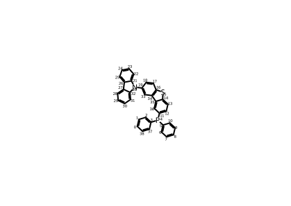 c1ccc(P(c2ccccc2)c2ccc3sc4ccc(-n5c6ccccc6c6ccccc65)cc4c3c2)cc1